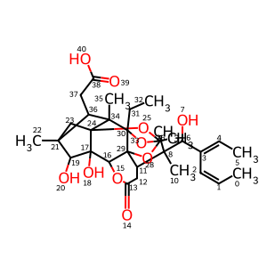 C/C=C\C(=C/C)C(O)C(C)(C)C1CC(=O)OC2C3(O)C(O)C4(C)CC35OC3(C)OC12C(CC)(O3)C5(C)C4CC(=O)O